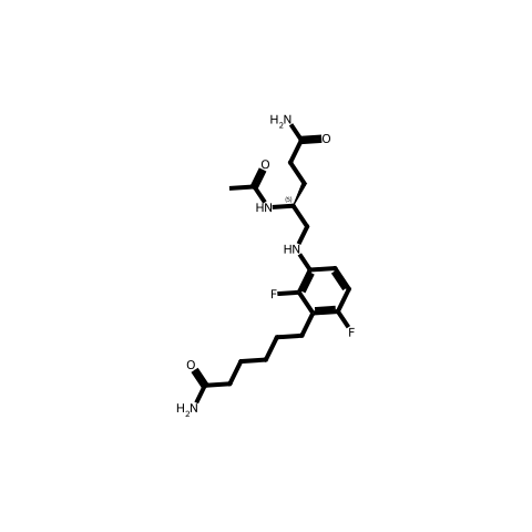 CC(=O)N[C@@H](CCC(N)=O)CNc1ccc(F)c(CCCCCC(N)=O)c1F